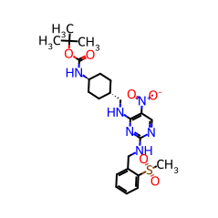 CC(C)(C)OC(=O)N[C@H]1CC[C@H](CNc2nc(NCc3ccccc3S(C)(=O)=O)ncc2[N+](=O)[O-])CC1